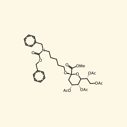 COC(=O)[C@@]1(OCCCCCN(Cc2ccccc2)C(=O)OCc2ccccc2)C[C@@H](OC(C)=O)[C@@H](OC(C)=O)C([C@@H](COC(C)=O)OC(C)=O)O1